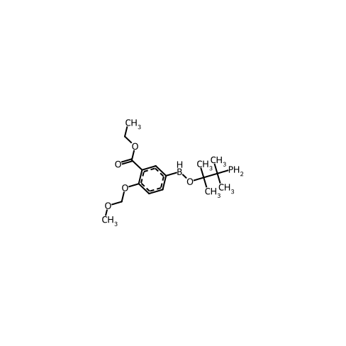 CCOC(=O)c1cc(BOC(C)(C)C(C)(C)P)ccc1OCOC